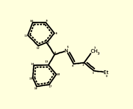 CC/C=C(C)/C=N/C(c1ccccc1)c1ccccc1